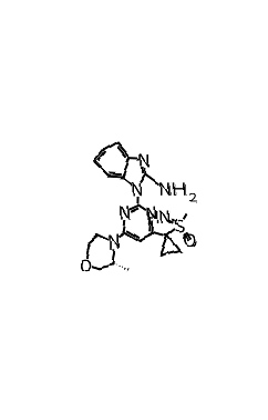 C[C@@H]1COCCN1c1cc(C2(S(C)(=N)=O)CC2)nc(-n2c(N)nc3ccccc32)n1